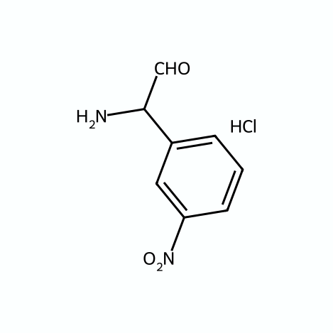 Cl.NC(C=O)c1cccc([N+](=O)[O-])c1